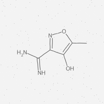 Cc1onc(C(=N)N)c1O